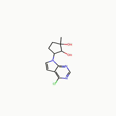 CC1(O)CCC(n2ccc3c(Cl)ncnc32)C1O